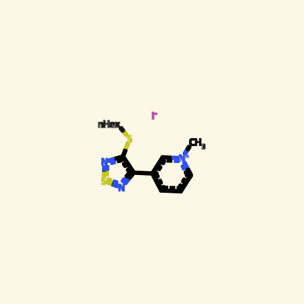 CCCCCCSc1nsnc1-c1ccc[n+](C)c1.[I-]